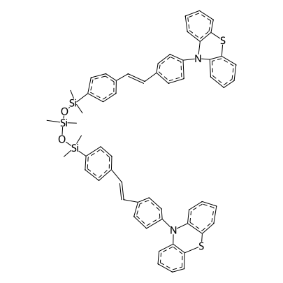 C[Si](C)(O[Si](C)(C)c1ccc(/C=C/c2ccc(N3c4ccccc4Sc4ccccc43)cc2)cc1)O[Si](C)(C)c1ccc(/C=C/c2ccc(N3c4ccccc4Sc4ccccc43)cc2)cc1